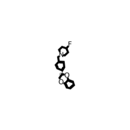 FC1CCN(Cc2ccc([C@H]3COc4ccccc4O3)cc2)CC1